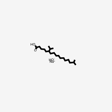 CC(C)CCCCCCCCCC(CCCCC(=O)O)C(C)C.[Na+].[OH-]